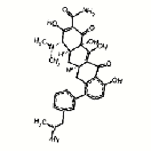 CCCN(C)Cc1cccc(-c2ccc(O)c3c2C[C@H]2C[C@H]4[C@H](N(C)C)C(O)=C(C(N)=O)C(=O)[C@@]4(O)C(O)=C2C3=O)c1